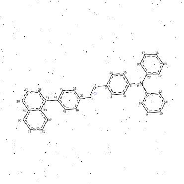 C(=C\c1ccc(N(c2ccccc2)c2ccccc2)cc1)/c1ccc(-c2cccc3ccccc23)cc1